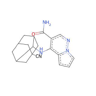 N#CC12CC3CC(C1)C(Nc1c(C(N)=O)cnn4cccc14)C(C3)C2